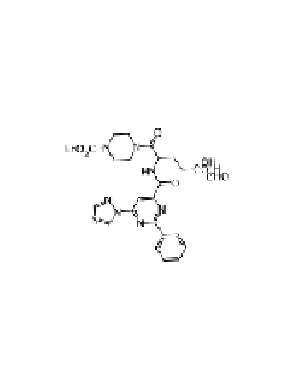 CCOC(=O)N1CCN(C(=O)C(CCC(=O)O)NC(=O)c2cc(-n3cncn3)nc(-c3ccccc3)n2)CC1.O=CO